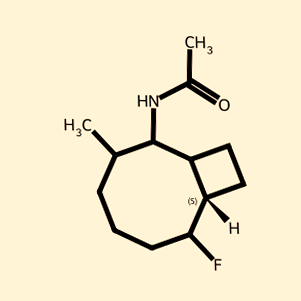 CC(=O)NC1C(C)CCCC(F)[C@H]2CCC12